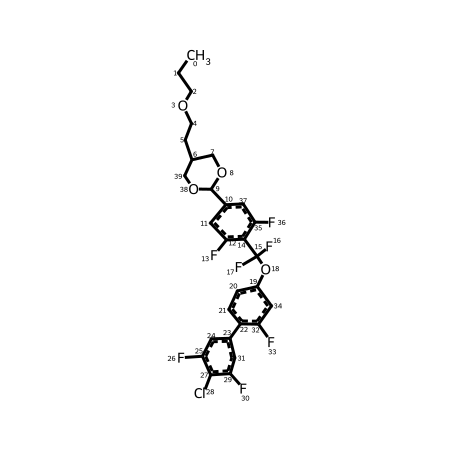 CCCOCCC1COC(c2cc(F)c(C(F)(F)Oc3ccc(-c4cc(F)c(Cl)c(F)c4)c(F)c3)c(F)c2)OC1